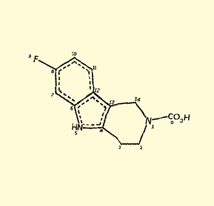 O=C(O)N1CCc2[nH]c3cc(F)ccc3c2C1